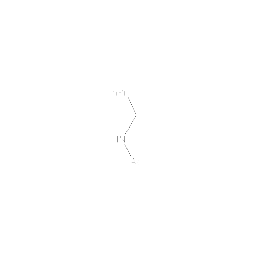 [CH2]CCCNC(C)=O